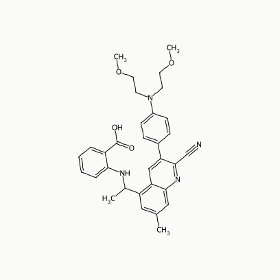 COCCN(CCOC)c1ccc(-c2cc3c(C(C)Nc4ccccc4C(=O)O)cc(C)cc3nc2C#N)cc1